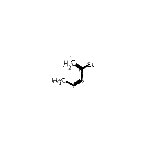 C=C(/C=C\C)CC